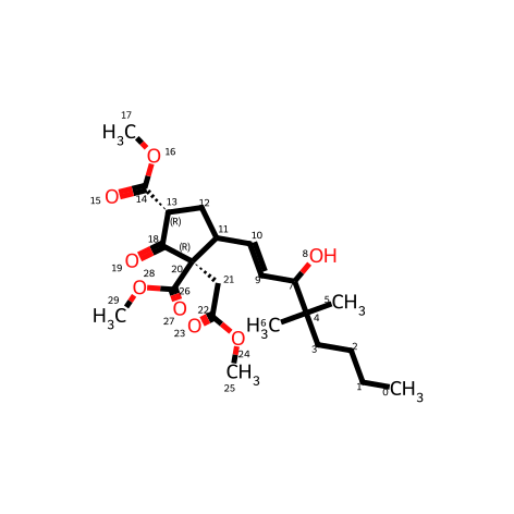 CCCCC(C)(C)C(O)C=CC1C[C@@H](C(=O)OC)C(=O)[C@]1(CC(=O)OC)C(=O)OC